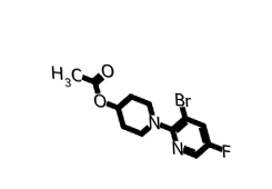 CC(=O)OC1CCN(c2ncc(F)cc2Br)CC1